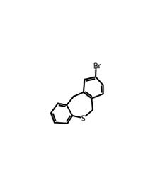 Brc1ccc2c(c1)Cc1ccccc1SC2